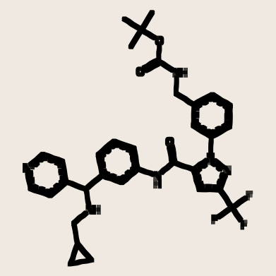 CC(C)(C)OC(=O)NCc1cccc(-n2nc(C(F)(F)F)cc2C(=O)Nc2cccc(C(NCC3CC3)c3ccncc3)c2)c1